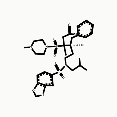 CC(C)CN(CC[C@](O)(Cc1ccccc1)C(C)(CC(N)=O)S(=O)(=O)N1CCN(C)CC1)S(=O)(=O)c1ccc2c(c1)OCO2